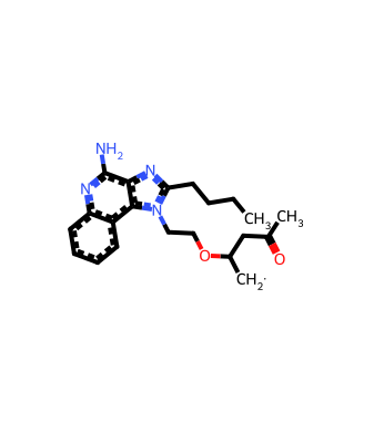 [CH2]C(CC(C)=O)OCCn1c(CCCC)nc2c(N)nc3ccccc3c21